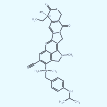 CC[C@@]1(O)C(=O)OCc2c1cc1n(c2=O)Cc2c-1nc1cc(C#N)c([N+](C)(C)Cc3ccc(NC(C)C)cc3)c3c1c2N(C)C3